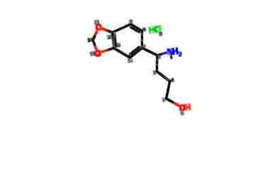 Cl.NC(CCCO)c1ccc2c(c1)OCO2